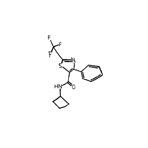 O=C(NC1CCC1)c1sc(C(F)(F)F)nc1-c1ccccc1